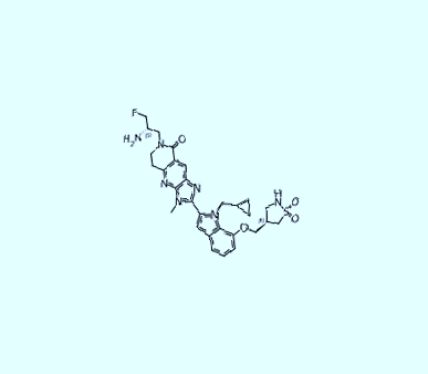 Cn1c(-c2cc3cccc(OC[C@H]4CNS(=O)(=O)C4)c3n2CC2CC2)nc2cc3c(nc21)CCN(C[C@H](N)CF)C3=O